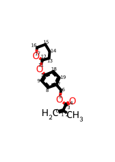 C=C(C)C(=O)OCc1ccc(OC2CCCCO2)cc1